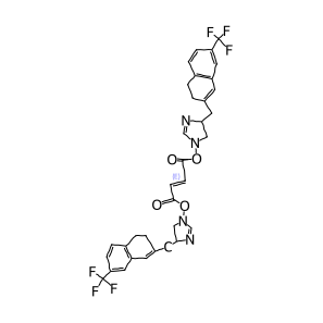 O=C(/C=C/C(=O)ON1C=NC(CC2=Cc3cc(C(F)(F)F)ccc3CC2)C1)ON1C=NC(CC2=Cc3cc(C(F)(F)F)ccc3CC2)C1